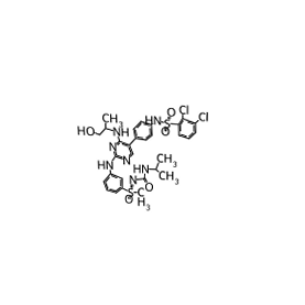 CC(C)NC(=O)N=S(C)(=O)c1cccc(Nc2ncc(-c3ccc(NS(=O)(=O)c4cccc(Cl)c4Cl)cc3)c(NC(C)CO)n2)c1